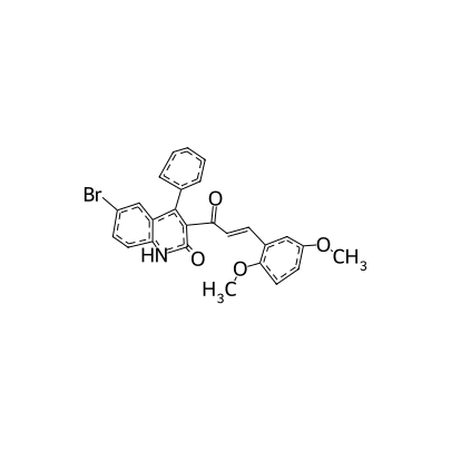 COc1ccc(OC)c(C=CC(=O)c2c(-c3ccccc3)c3cc(Br)ccc3[nH]c2=O)c1